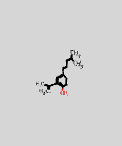 CC(C)CCCc1ccc(O)c(C(C)C)c1